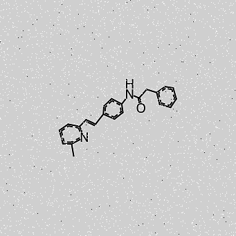 Cc1cccc(C=Cc2ccc(NC(=O)Cc3ccccc3)cc2)n1